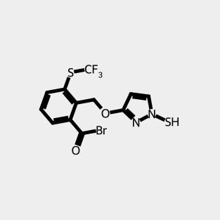 O=C(Br)c1cccc(SC(F)(F)F)c1COc1ccn(S)n1